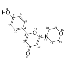 O=c1cc(-c2ccc(O)cc2)oc(N2CCOCC2)c1